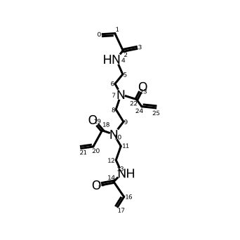 C=CC(=C)NCCN(CCN(CCNC(=O)C=C)C(=O)C=C)C(=O)C=C